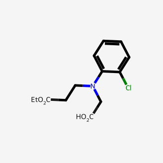 CCOC(=O)CCN(CC(=O)O)c1ccccc1Cl